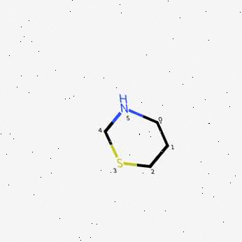 [CH]1CCSCN1